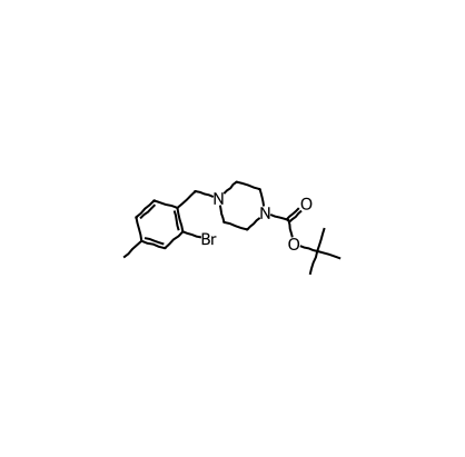 Cc1ccc(CN2CCN(C(=O)OC(C)(C)C)CC2)c(Br)c1